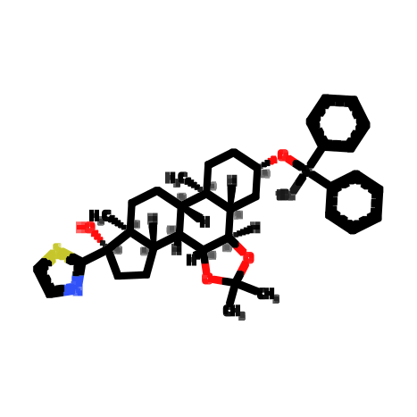 CC1(C)O[C@H]2[C@H](O1)[C@H]1C[C@@H](O[Si](c3ccccc3)(c3ccccc3)C(C)(C)C)CC[C@]1(C)[C@H]1CC[C@@]3(C)[C@@H](CC[C@@]3(O)c3nccs3)[C@H]21